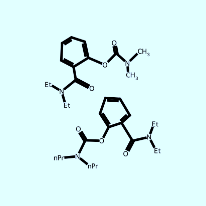 CCCN(CCC)C(=O)Oc1ccccc1C(=O)N(CC)CC.CCN(CC)C(=O)c1ccccc1OC(=O)N(C)C